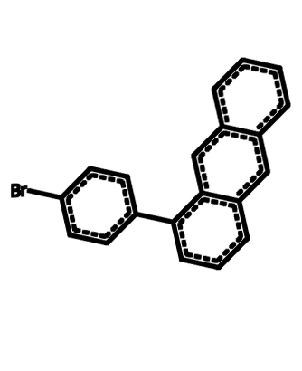 Brc1ccc(-c2cccc3cc4ccccc4cc23)cc1